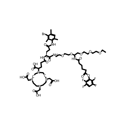 CCOCCOCCOCC(NC(=O)CCCCC(=O)Oc1c(F)c(F)cc(F)c1F)OCCOCCNC(=O)[C@H](CCC(=O)Nc1c(C)cc(C)c(Br)c1C)NC(=O)CCC(C(=O)O)N1CCN(CC(=O)O)CCN(CC(=O)O)CCN(CC(=O)O)CC1